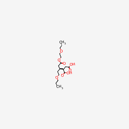 CCCOCCOC(=O)CC(CCOCCC)=C(CC(=O)O)C(=O)O